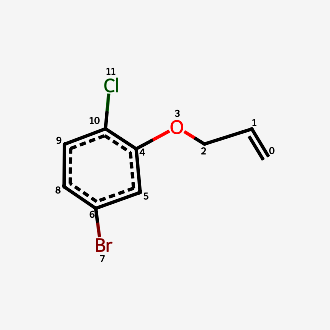 C=CCOc1cc(Br)ccc1Cl